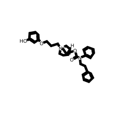 O=C(O[C@H]1C[N+]2(CCCOc3cccc(O)c3)CCC1CC2)N(CCc1ccccc1)c1ccccc1